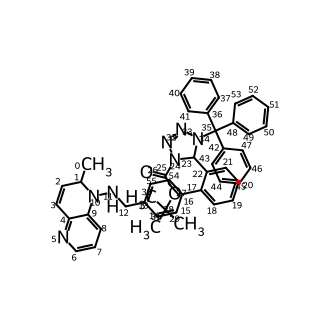 CC1C=Cc2ncccc2N1NCc1ccc(-c2ccccc2C2N(C(=O)OC(C)(C)C)N=NN2C(c2ccccc2)(c2ccccc2)c2ccccc2)cc1